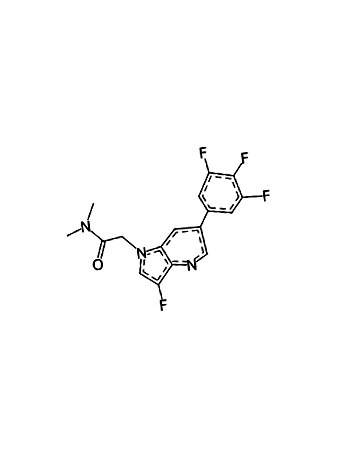 CN(C)C(=O)Cn1cc(F)c2ncc(-c3cc(F)c(F)c(F)c3)cc21